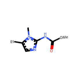 CCc1cnc(NC(=O)OC)n1C